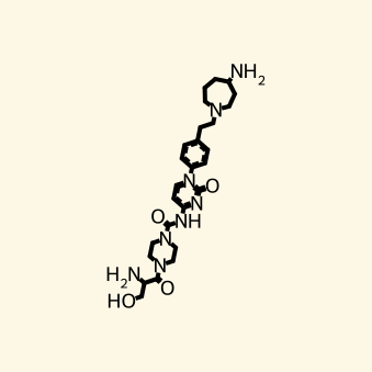 NC1CCCN(CCc2ccc(-n3ccc(NC(=O)N4CCN(C(=O)C(N)CO)CC4)nc3=O)cc2)CC1